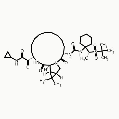 C[C@H](C1(NC(=O)N[C@H]2CCCCCCCCC[C@@H](C(=O)C(=O)NC3CC3)NC(=O)[C@@H]3[C@@H]4[C@H](CN3C2=O)C4(C)C)CCCCC1)S(=O)(=O)C(C)(C)C